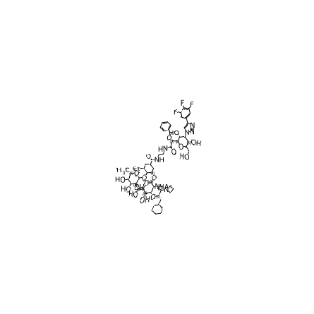 CCC1CC(C(=O)NCCNC(=O)[C@@H](OCc2ccccc2)[C@@H]2OC(CO)[C@@H](O)C(n3cc(-c4cc(F)c(F)c(F)c4)nn3)C2O)C[C@@H](O[C@@H]2OC(CO)[C@H](O)C(O[C@@H](CC3CCCCC3)C(=O)N3CCC3)C2NC(C)=O)C1OC1O[C@@H](C)C(O)C(O)[C@@H]1O